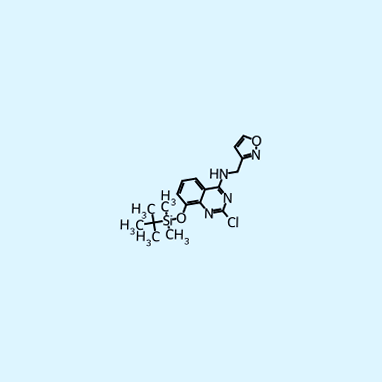 CC(C)(C)[Si](C)(C)Oc1cccc2c(NCc3ccon3)nc(Cl)nc12